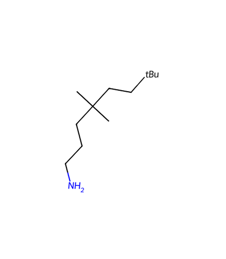 CC(C)(C)CCC(C)(C)CCCN